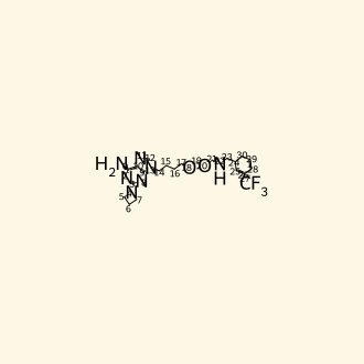 Nc1nc(N2CCC2)nc2c1ncn2CCCCOCOCNCC1C=C(C(F)(F)F)C=CC1